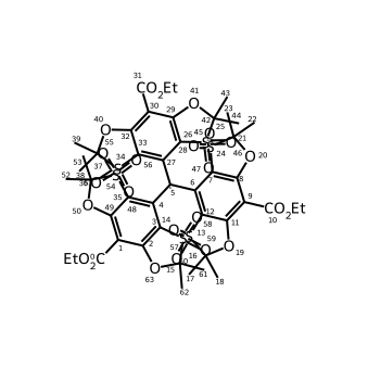 CCOC(=O)c1c2c(c([C](c3c4c(c(C(=O)OCC)c5c3S(=O)(=O)C(C)(C)O5)OC(C)(C)S4(=O)=O)c3c4c(c(C(=O)OCC)c5c3S(=O)(=O)C(C)(C)O5)OC(C)(C)S4(=O)=O)c3c1OC(C)(C)S3(=O)=O)S(=O)(=O)C(C)(C)O2